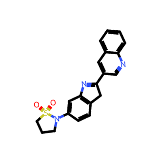 O=S1(=O)CCCN1c1ccc2c(c1)N=C(c1cnc3ccccc3c1)C2